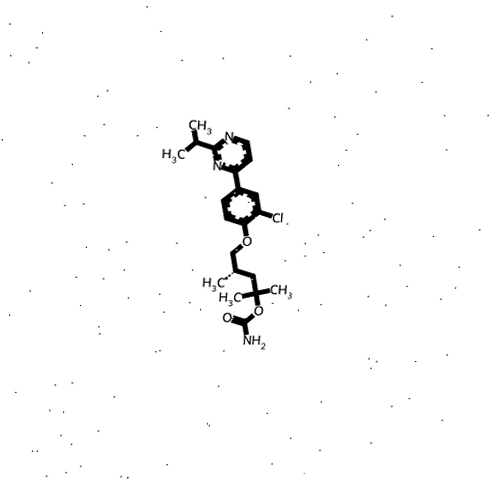 CC(C)c1nccc(-c2ccc(OC[C@@H](C)CC(C)(C)OC(N)=O)c(Cl)c2)n1